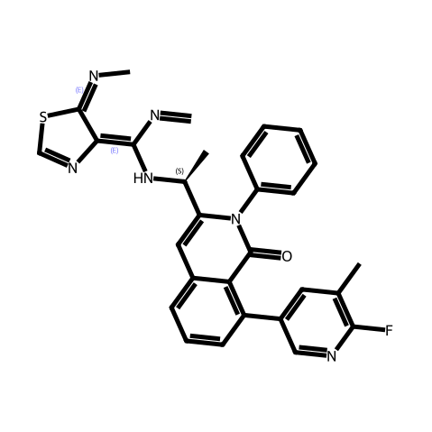 C=N/C(N[C@@H](C)c1cc2cccc(-c3cnc(F)c(C)c3)c2c(=O)n1-c1ccccc1)=C1/N=CS/C1=N/C